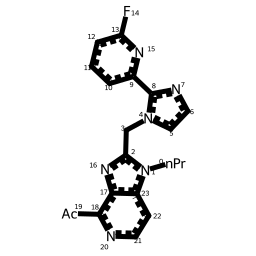 CCCn1c(Cn2ccnc2-c2cccc(F)n2)nc2c(C(C)=O)nccc21